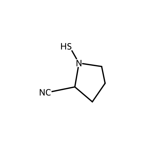 N#CC1CCCN1S